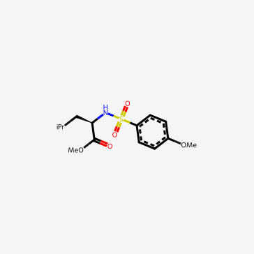 COC(=O)[C@@H](CC(C)C)NS(=O)(=O)c1ccc(OC)cc1